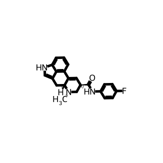 CN1C[C@H](C(=O)Nc2ccc(F)cc2)C=C2c3cccc4[nH]cc(c34)C[C@H]21